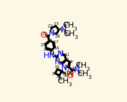 CC(C)C1(n2c(C(=O)N(C)C)cc3cnc(Nc4ccc(C(=O)N5CC[C@H](N(C)C)C5)cc4)nc32)CC[C@H]1C